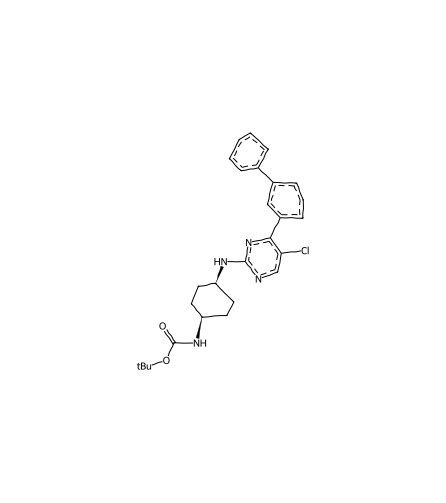 CC(C)(C)OC(=O)N[C@H]1CC[C@@H](Nc2ncc(Cl)c(-c3cccc(-c4ccccc4)c3)n2)CC1